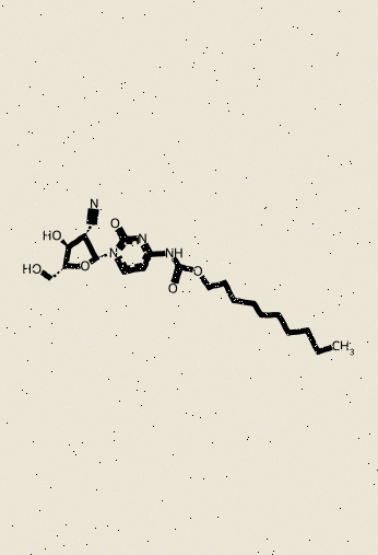 CCCCCCCCCCOC(=O)Nc1ccn([C@@H]2O[C@H](CO)[C@@H](O)[C@@H]2C#N)c(=O)n1